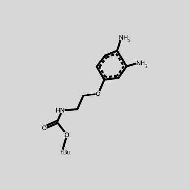 CC(C)(C)OC(=O)NCCOc1ccc(N)c(N)c1